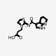 O=C(O)CCn1ccs/c1=N\C(=O)c1c[nH]c2ncccc12